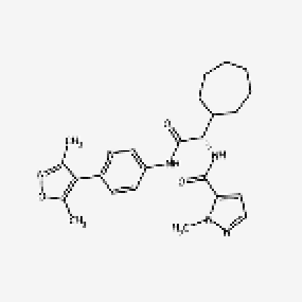 Cc1noc(C)c1-c1ccc(NC(=O)[C@@H](NC(=O)c2ccnn2C)C2CCCCCC2)cn1